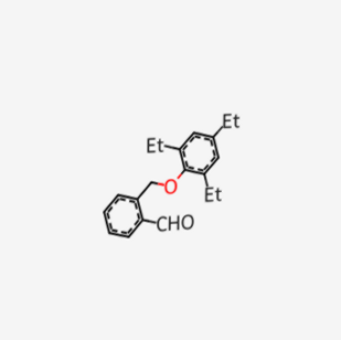 CCc1cc(CC)c(OCc2ccccc2C=O)c(CC)c1